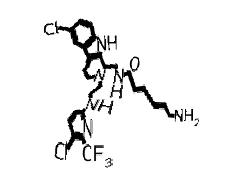 NCCCCCC(=O)NCC1c2[nH]c3ccc(Cl)cc3c2CCN1CCNc1ccc(Cl)c(C(F)(F)F)n1